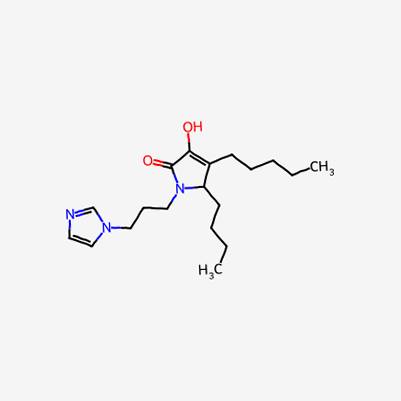 CCCCCC1=C(O)C(=O)N(CCCn2ccnc2)C1CCCC